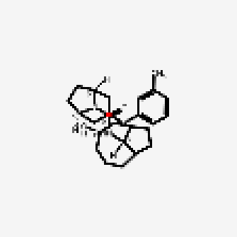 Cc1cccc(O[C@H]2C[C@H]3CC[C@@H](C2)N3C(=O)N[C@H]2C3CCC[C@@H](O)CC2CC3)c1